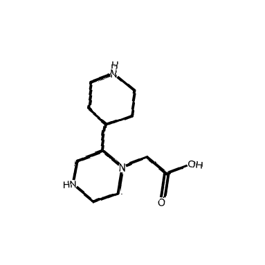 O=C(O)CN1[CH]CNCC1C1CCNCC1